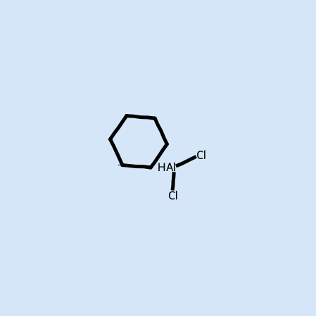 [CH]1CCCCC1.[Cl][AlH][Cl]